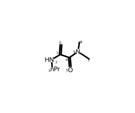 C=C(NCCC)C(=O)N(C)C